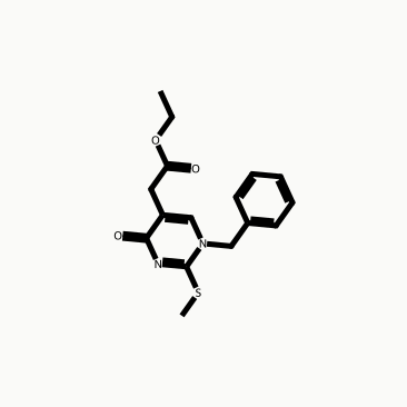 CCOC(=O)Cc1cn(Cc2ccccc2)c(SC)nc1=O